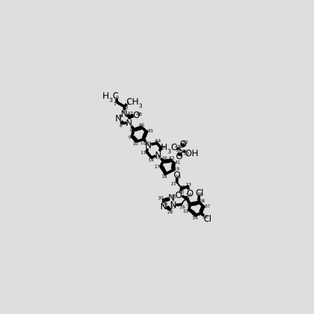 CCC(C)n1ncn(-c2ccc(N3CCN(c4ccc(OC[C@H]5CO[C@](Cn6cncn6)(c6ccc(Cl)cc6Cl)O5)cc4)CC3)cc2)c1=O.CS(=O)(=O)O